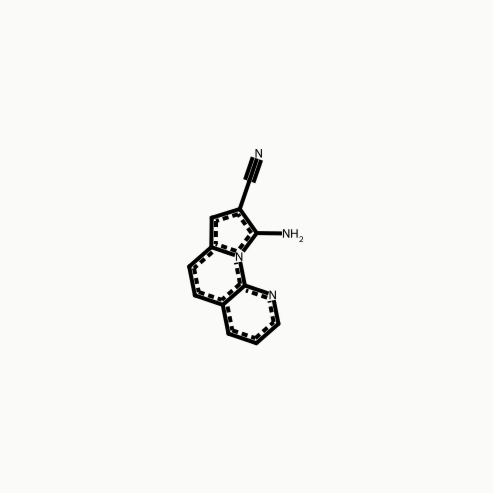 N#Cc1cc2ccc3cccnc3n2c1N